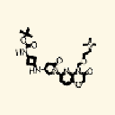 CC(C)(C)OC(=O)NC1CC(N[C@@H]2CC(=O)N(c3ccc4c(n3)N(COCCS(C)(C)C)C(=O)CO4)C2)C1